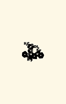 CC1CN(CC2=NC(Nc3ccccc3)(C(F)(F)F)c3ccc(-c4ccccc4C(F)(F)F)cc3N2)CC(C)O1